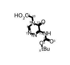 CC(C)(C)OC(=O)Nc1nncn(CC(=O)O)c1=O